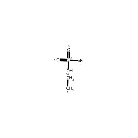 CC.CCCS(=O)(=O)O